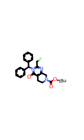 CC(C)(C)OC(=O)N1CCc2c(nc(CF)n(C(c3ccccc3)c3ccccc3)c2=O)C1